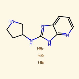 Br.Br.Br.c1cnc2[nH]c(NC3CCNC3)nc2c1